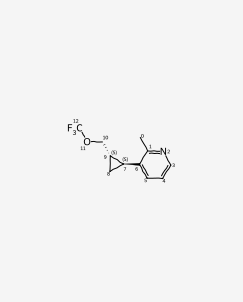 Cc1ncccc1[C@H]1C[C@@H]1COC(F)(F)F